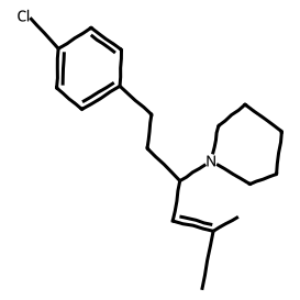 CC(C)=CC(CCc1ccc(Cl)cc1)N1CCCCC1